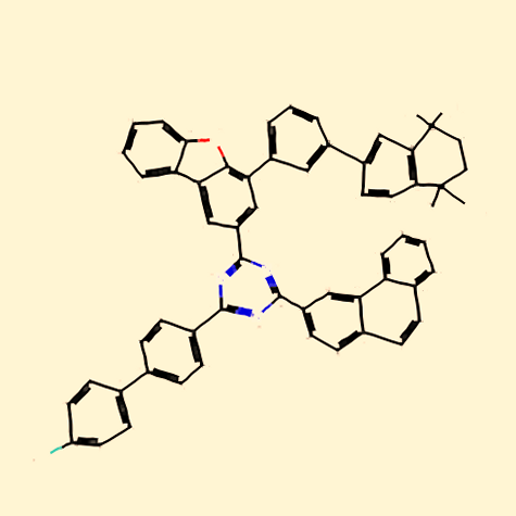 CC1(C)CCC(C)(C)c2cc(-c3cccc(-c4cc(-c5nc(-c6ccc(-c7ccc(F)cc7)cc6)nc(-c6ccc7ccc8ccccc8c7c6)n5)cc5c4oc4ccccc45)c3)ccc21